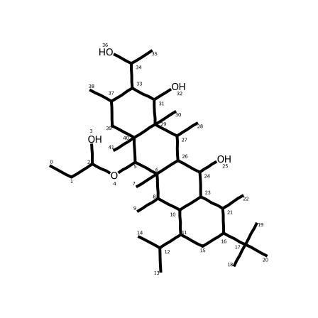 CCC(O)OC1C2(C)C(C)C3C(C(C)C)CC(C(C)(C)C)C(C)C3C(O)C2C(C)C2(C)C(O)C(C(C)O)C(C)CC12C